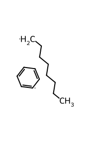 [CH2]CCCCCCC.[c]1ccccc1